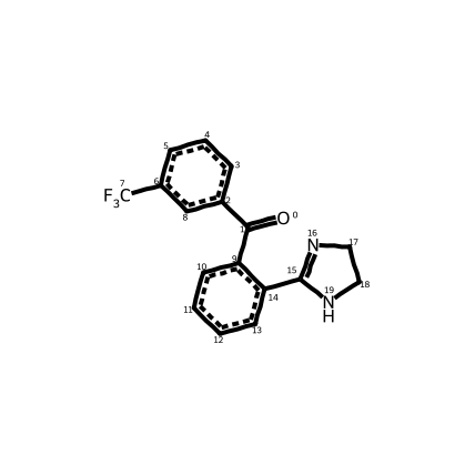 O=C(c1cccc(C(F)(F)F)c1)c1ccccc1C1=NCCN1